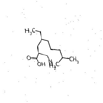 CC[C@@H](CCCC(C)C)C[C@@H](CN)C(=O)O